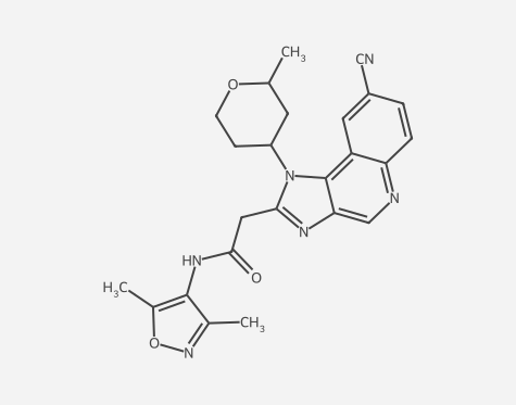 Cc1noc(C)c1NC(=O)Cc1nc2cnc3ccc(C#N)cc3c2n1C1CCOC(C)C1